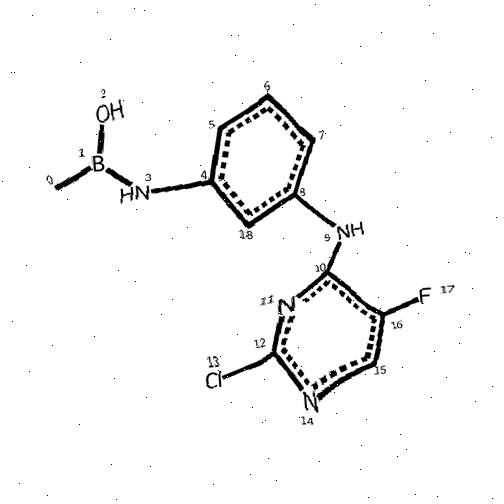 CB(O)Nc1cccc(Nc2nc(Cl)ncc2F)c1